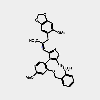 CCCCc1onc(/C=C(\Cc2cc3c(cc2OC)OCO3)C(=O)O)c1-c1cnc(OC)cc1OCc1ccccc1C(=O)O